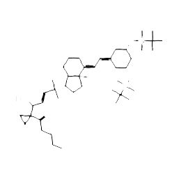 CCCCC(=O)C1(C(O)/C=C/C(C)(C)[C@H]2CC[C@H]3/C(=C/C=C4C[C@@H](O[Si](C)(C)C(C)(C)C)C[C@H](O[Si](C)(C)C(C)(C)C)C4)CCC[C@]23C)CC1